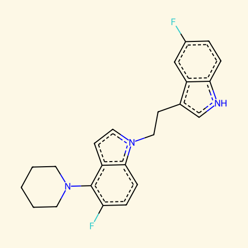 Fc1ccc2[nH]cc(CCn3ccc4c(N5CCCCC5)c(F)ccc43)c2c1